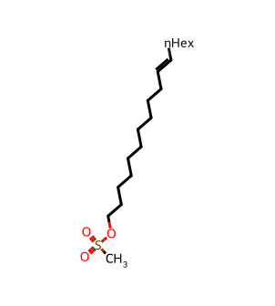 CCCCCCC=CCCCCCCCCCCOS(C)(=O)=O